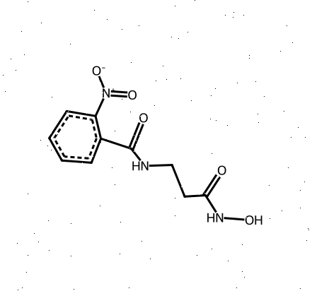 O=C(CCNC(=O)c1ccccc1[N+](=O)[O-])NO